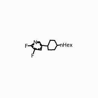 CCCCCCC1CCC(c2cnc(F)c(F)c2)CC1